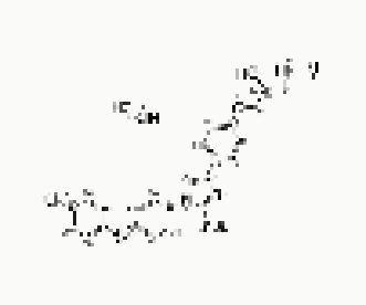 CCCCc1nc(-c2ccc(OC[C@@H](O)CNCC)cc2)cn1-c1ccc(Oc2ccc(Cl)cc2)cc1.Cl.Cl